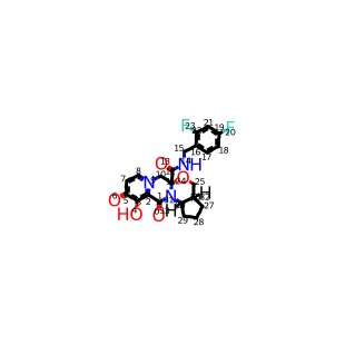 O=C1c2c(O)c(=O)ccn2CC2(C(=O)NCc3ccc(F)cc3F)OC[C@@H]3CCC[C@@H]3N12